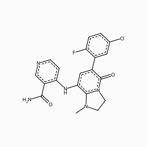 CN1CCn2c1c(Nc1ccncc1C(N)=O)cc(-c1cc(Cl)ccc1F)c2=O